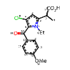 CCn1c(C(C)C(=O)O)cc(Cl)c1C(=O)c1ccc(OC)cc1